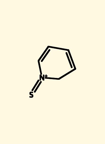 S=[N+]1C=CC=CC1